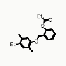 CCC(=O)Oc1ccccc1COc1cc(C)c(CC)cc1C